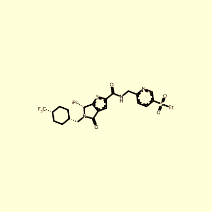 CCS(=O)(=O)c1ccc(CNC(=O)c2cc3c(s2)[C@@H](C(C)C)N(C[C@H]2CC[C@@H](C(F)(F)F)CC2)C3=O)nc1